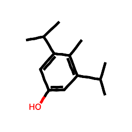 Cc1c(C(C)C)cc(O)cc1C(C)C